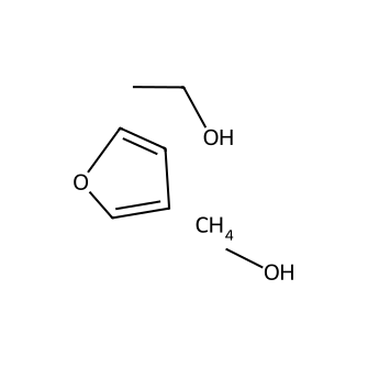 C.CCO.CO.c1ccoc1